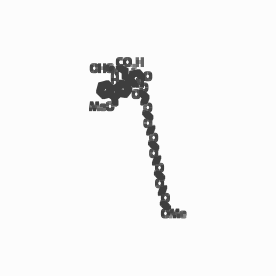 COCCOCCOCCOCCOCCOCCOCCOCCC(=O)ON1CC(CCC(NC=O)C(=O)O)(c2ccc3c(c2)-c2ccccc2C3COC)CCC1=O